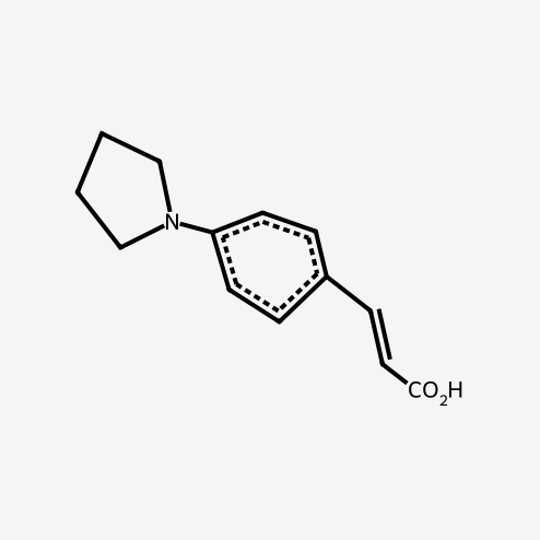 O=C(O)C=Cc1ccc(N2CCCC2)cc1